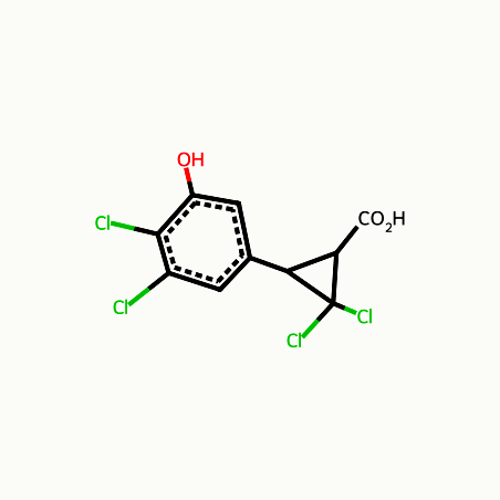 O=C(O)C1C(c2cc(O)c(Cl)c(Cl)c2)C1(Cl)Cl